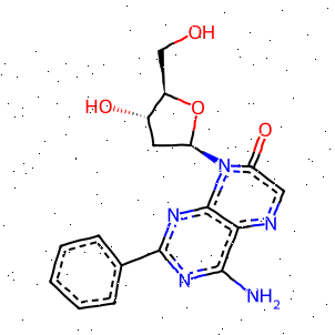 Nc1nc(-c2ccccc2)nc2c1ncc(=O)n2[C@H]1C[C@H](O)[C@@H](CO)O1